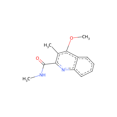 CNC(=O)c1nc2ccccc2c(OC)c1C